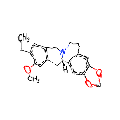 CCc1cc2c(cc1OC)C[C@H]1c3cc4c(cc3CCN1C2)OCO4